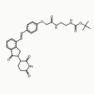 CC(C)(C)OC(=O)NCCNC(=O)COc1ccc(/N=N/c2cccc3c2CN(C2CCC(=O)NC2=O)C3=O)cc1